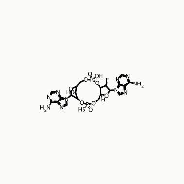 Nc1ncnc2c1ncn2C1O[C@@H]2CO[P@](=O)(S)OC3C(O)C(COP(=O)(O)OC2C1F)OC3n1cnc2c(N)ncnc21